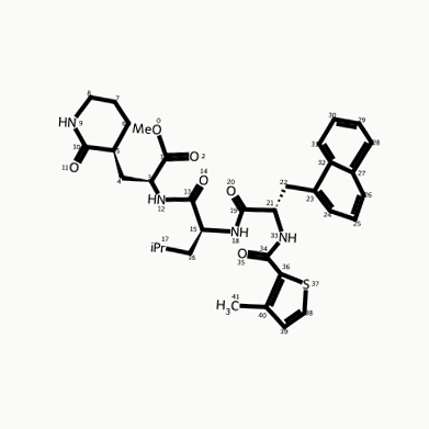 COC(=O)[C@H](C[C@@H]1CCCNC1=O)NC(=O)[C@H](CC(C)C)NC(=O)[C@H](Cc1cccc2ccccc12)NC(=O)c1sccc1C